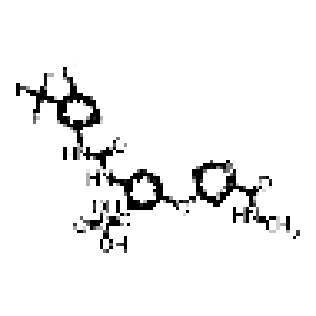 CNC(=O)c1cc(Oc2ccc(NC(=O)Nc3ccc(Cl)c(C(F)(F)F)c3)cc2)ccn1.O=S(=O)(O)O